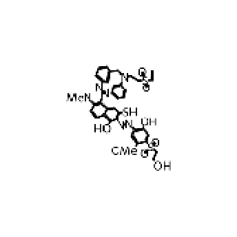 C=CS(=O)(=O)CCN(Cc1cccc(/N=N/c2c(NC)ccc3c(O)c(/N=N/c4cc(OC)c(S(=O)(=O)CCO)cc4O)c(S)cc23)c1)c1ccccc1